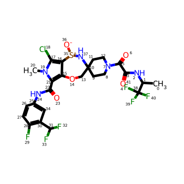 CC(NC(=O)C(=O)N1CCC2(CC1)COc1c(c(Cl)n(C)c1C(=O)Nc1ccc(F)c(C(F)F)c1)[S+]([O-])N2)C(F)(F)F